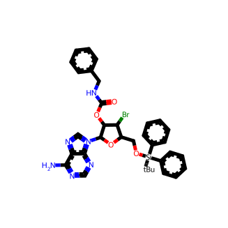 CC(C)(C)[Si](OCC1OC(n2cnc3c(N)ncnc32)C(OC(=O)NCc2ccccc2)C1Br)(c1ccccc1)c1ccccc1